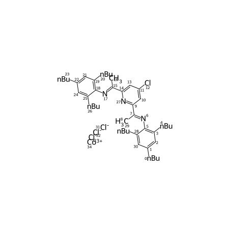 CCCCc1cc(CCCC)c(N=C(C)c2cc(Cl)cc(C(C)=Nc3c(CCCC)cc(CCCC)cc3CCCC)n2)c(CCCC)c1.[Cl-].[Cl-].[Cl-].[Co+3]